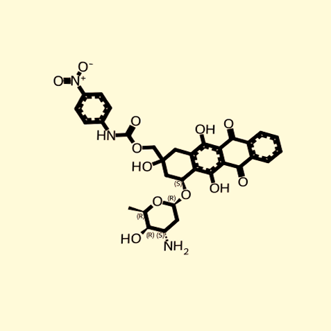 C[C@H]1O[C@@H](O[C@H]2CC(O)(COC(=O)Nc3ccc([N+](=O)[O-])cc3)Cc3c(O)c4c(c(O)c32)C(=O)c2ccccc2C4=O)C[C@H](N)[C@H]1O